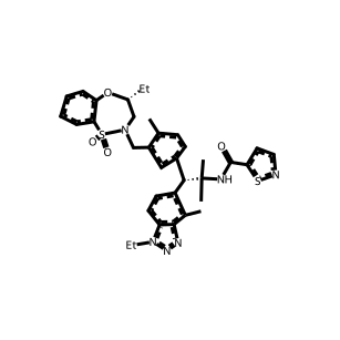 CC[C@@H]1CN(Cc2cc([C@@H](c3ccc4c(nnn4CC)c3C)C(C)(C)NC(=O)c3ccns3)ccc2C)S(=O)(=O)c2ccccc2O1